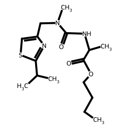 CCCCOC(=O)C(C)NC(=O)N(C)Cc1csc(C(C)C)n1